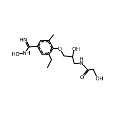 CCc1cc(C(=N)NO)cc(C)c1OCC(O)CNC(=O)CO